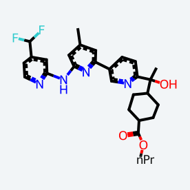 CCCOC(=O)C1CCC(C(C)(O)c2ccc(-c3cc(C)cc(Nc4cc(C(F)F)ccn4)n3)cn2)CC1